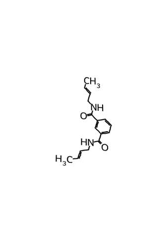 CC=CCNC(=O)c1cccc(C(=O)NCC=CC)c1